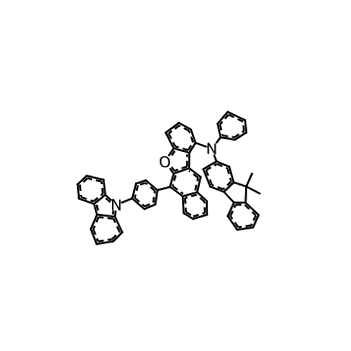 CC1(C)c2ccccc2-c2ccc(N(c3ccccc3)c3cccc4oc5c(-c6ccc(-n7c8ccccc8c8ccccc87)cc6)c6ccccc6cc5c34)cc21